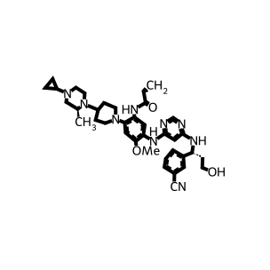 C=CC(=O)Nc1cc(Nc2cc(N[C@H](CCO)c3cccc(C#N)c3)ncn2)c(OC)cc1N1CCC(N2CCN(C3CC3)C[C@@H]2C)CC1